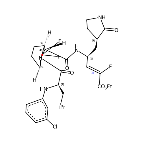 CCOC(=O)/C(F)=C/[C@H](C[C@H]1CCNC1=O)NC(=O)[C@H]1[C@@H]2CC[C@@H](CC2(F)F)N1C(=O)[C@@H](CC(C)C)Nc1cccc(Cl)c1